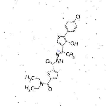 CCN(CC)C(=O)c1ccc(C(=O)N/N=C(\C)c2csc(-c3ccc(Cl)cc3)c2O)s1